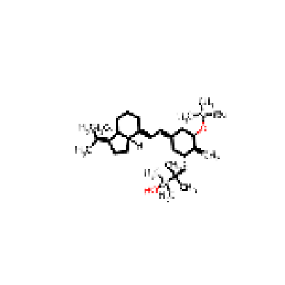 C=C1[C@H](CC(C)(C)[Si](C)(C)O)C/C(=C\C=C2/CCC[C@]3(C)C(=C(C)C)CC[C@@H]23)C[C@H]1O[Si](C)(C)C(C)(C)C